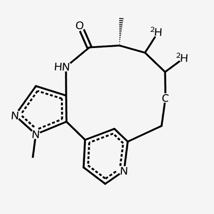 [2H]C1CCc2cc(ccn2)-c2c(cnn2C)NC(=O)[C@H](C)C1[2H]